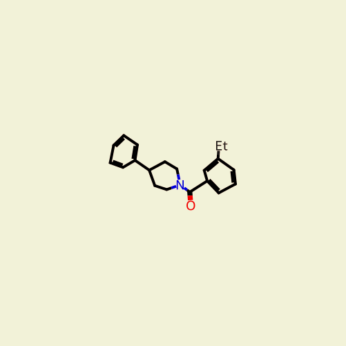 CCc1cccc(C(=O)N2CCC(c3ccccc3)CC2)c1